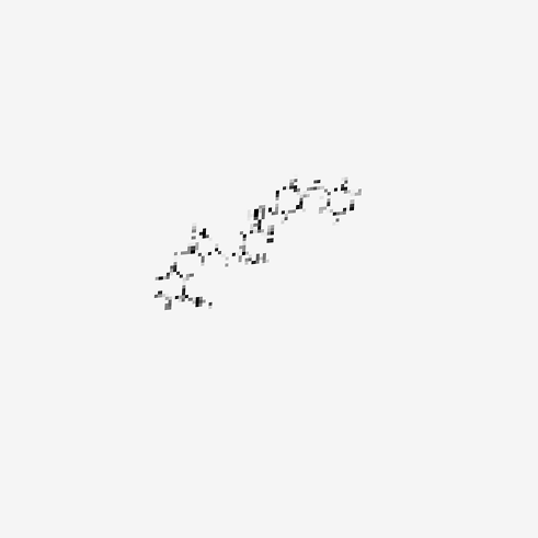 CN(CCCN(C)Cc1cccc(N)c1)CC(=O)Nc1ccc(Oc2ccccc2)cc1